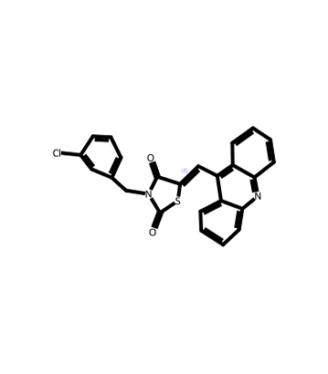 O=C1S/C(=C\c2c3ccccc3nc3ccccc23)C(=O)N1Cc1cccc(Cl)c1